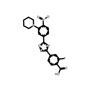 O=C(O)c1ccc(-c2noc(-c3ccc([N+](=O)[O-])c(N4CCCCC4)c3)n2)cc1F